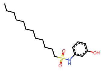 CCCCCCCCCCCCS(=O)(=O)Nc1cccc(O)c1